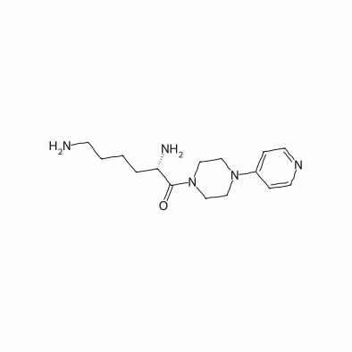 NCCCC[C@H](N)C(=O)N1CCN(c2ccncc2)CC1